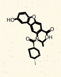 CC(C)N(c1cc2c(cc1C(=O)O)oc1ccc(O)cc12)C(=O)[C@H]1CC[C@H](C)CC1